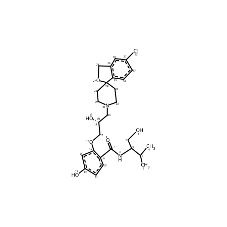 CC(C)C(CO)NC(=O)c1ccc(O)cc1OC[C@H](O)CN1CCC2(CC1)OCc1cc(Cl)ccc12